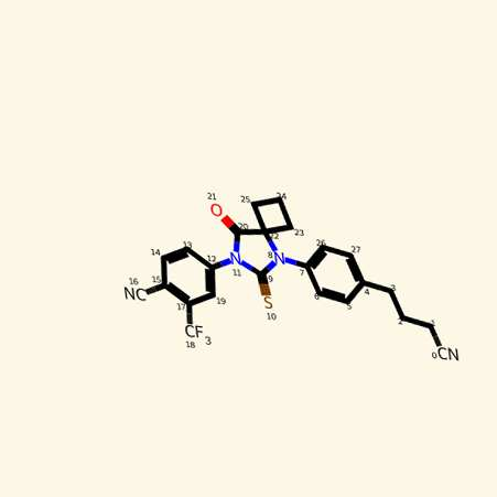 N#CCCCc1ccc(N2C(=S)N(c3ccc(C#N)c(C(F)(F)F)c3)C(=O)C23CCC3)cc1